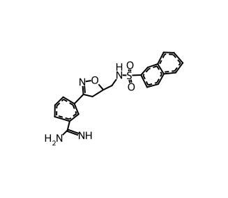 N=C(N)c1cccc(C2=NOC(CNS(=O)(=O)c3ccc4ccccc4c3)C2)c1